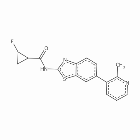 Cc1ncccc1-c1ccc2nc(NC(=O)C3CC3F)sc2c1